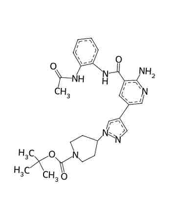 CC(=O)Nc1ccccc1NC(=O)c1cc(-c2cnn(C3CCN(C(=O)OC(C)(C)C)CC3)c2)cnc1N